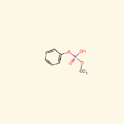 O=P(O)(Oc1ccccc1)OC(Cl)(Cl)Cl